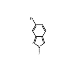 CCc1ccc2cn(I)nc2c1